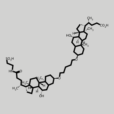 C[C@H](CCC(=O)O)[C@H]1CC[C@H]2[C@@H]3[C@@H](O)CC4C[C@H](OCCCCCO[C@@H]5CC[C@@]6(C)C(C5)C[C@H](O)[C@H]5[C@@H]7CC[C@H]([C@H](C)CCC(=O)NCCS(=O)(=O)O)[C@@]7(C)CC[C@@H]56)CC[C@]4(C)[C@H]3CC[C@]12C